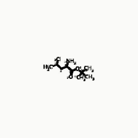 C[C@@H](Cl)CC(N)C(=O)OC(C)(C)C